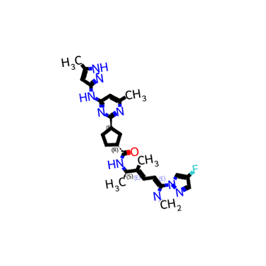 C=N/C(=C\C=C(/C)[C@H](C)NC(=O)[C@@H]1CC[C@@H](c2nc(C)cc(Nc3cc(C)[nH]n3)n2)C1)n1cc(F)cn1